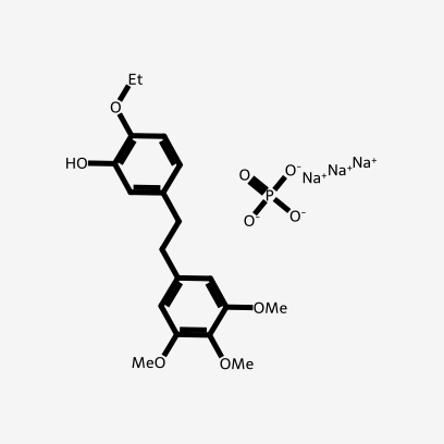 CCOc1ccc(CCc2cc(OC)c(OC)c(OC)c2)cc1O.O=P([O-])([O-])[O-].[Na+].[Na+].[Na+]